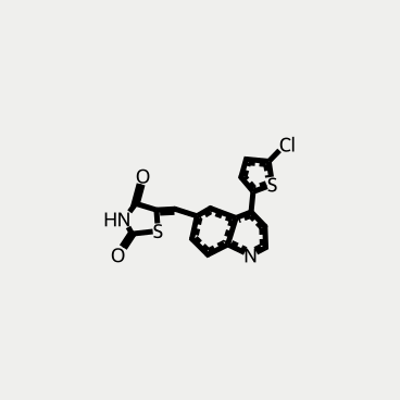 O=C1NC(=O)/C(=C/c2ccc3nccc(-c4ccc(Cl)s4)c3c2)S1